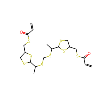 C=CC(=O)SCC1CSC(C(C)SCSC(C)C2SCC(CSC(=O)C=C)S2)S1